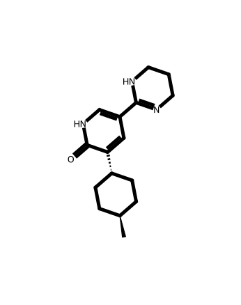 C[C@H]1CC[C@H](c2cc(C3=NCCCN3)c[nH]c2=O)CC1